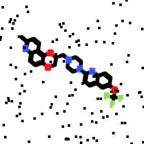 Cc1ccc2c3c(ccc2n1)OC[C@H](CN1CCN(c2ccc4cc(OC(F)(F)F)ccc4n2)CC1)O3